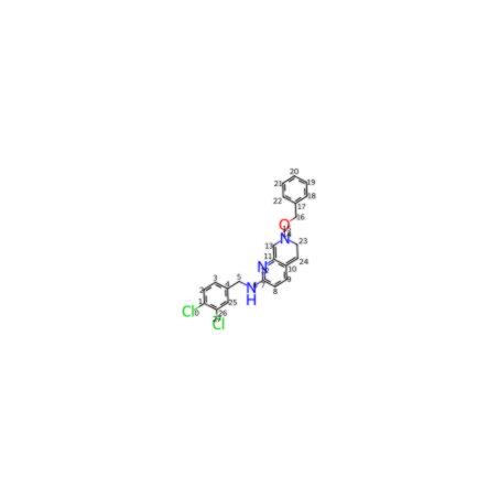 Clc1ccc(CNc2ccc3c(n2)=CN(OCc2ccccc2)CC=3)cc1Cl